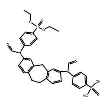 CCOP(=O)(OCC)c1ccc(N(C=O)c2ccc3c(c2)Cc2cc(N(C=O)c4ccc(P(=O)(O)O)cc4)ccc2CC3)cc1